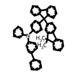 CC1(C)c2ccccc2-c2ccc(C3(c4ccc(N(c5ccccc5)c5ccc(-c6ccccc6)cc5)cc4)c4ccccc4-c4ccccc43)cc21